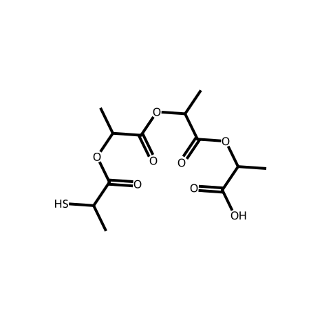 CC(S)C(=O)OC(C)C(=O)OC(C)C(=O)OC(C)C(=O)O